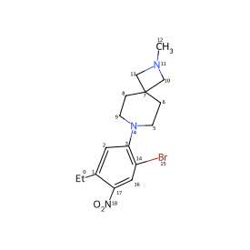 CCc1cc(N2CCC3(CC2)CN(C)C3)c(Br)cc1[N+](=O)[O-]